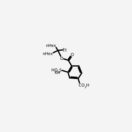 CCCCCCC(CC)(CCCCCC)OC(=O)c1ccc(C(=O)O)cc1S(=O)(=O)O.[KH]